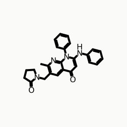 Cc1nc2c(cc1CN1CCCC1=O)c(=O)cc(Nc1ccccc1)n2-c1ccccc1